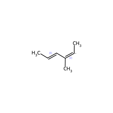 C/[C]=C(C)\C=C\C